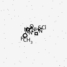 CC1(F)CCC(n2ncc3c(=O)[nH]c([C@H]4CC[C@H]4c4csc(Cl)n4)nc32)CC1